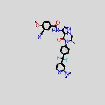 COc1ccc(C(=O)Nc2cnn3c2C(=O)N(c2ccc(C(F)(F)c4ccnc(N(C)C)c4)cc2)[C@@H](C)C3)cc1C#N